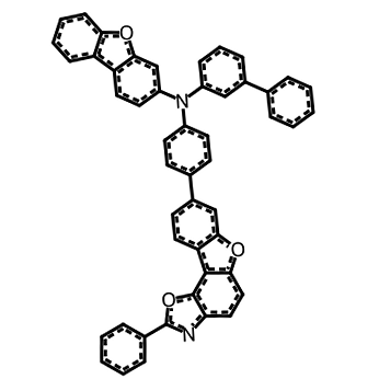 c1ccc(-c2cccc(N(c3ccc(-c4ccc5c(c4)oc4ccc6nc(-c7ccccc7)oc6c45)cc3)c3ccc4c(c3)oc3ccccc34)c2)cc1